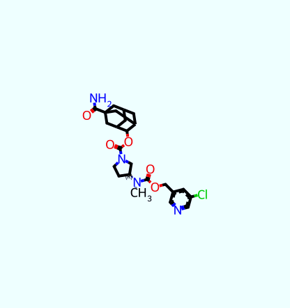 CN(C(=O)OCc1cncc(Cl)c1)[C@@H]1CCN(C(=O)OC2C3CC4CC2CC(C(N)=O)(C4)C3)C1